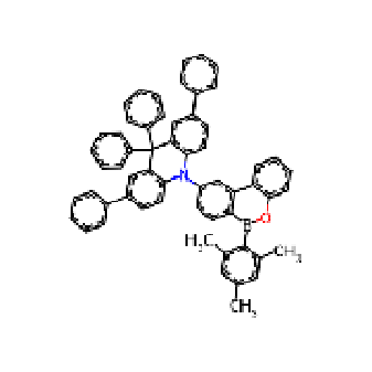 Cc1cc(C)c(B2Oc3ccccc3-c3cc(N4c5ccc(-c6ccccc6)cc5C(c5ccccc5)(c5ccccc5)c5cc(-c6ccccc6)ccc54)ccc32)c(C)c1